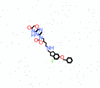 O=C1COc2ncc(N3CC(CCNCC4Cc5cc(OCc6ccccc6)cc(F)c5C4)OC3=O)nc2N1